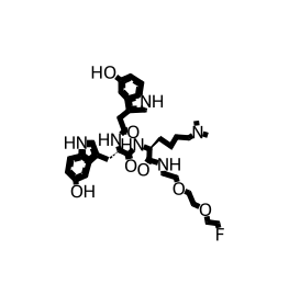 CN(C)CCCC[C@H](NC(=O)[C@H](Cc1c[nH]c2ccc(O)cc12)NC(=O)Cc1c[nH]c2ccc(O)cc12)C(=O)NCCOCCOCCF